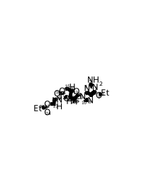 CCOc1nc(N)nc2c1ncn2[C@@H]1O[C@@H]2CO[P@@](=O)(NCCOC(=O)CC)O[C@H]2[C@@]1(C)F